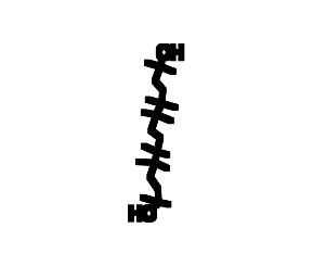 CC(C)(O)CCC(C)(C)C(C)(C)CCC(C)(C)C(C)(C)CCC(C)(C)O